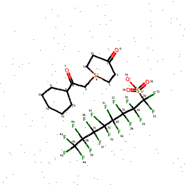 O=C1CC[S+](CC(=O)C2CCCCC2)CC1.O=S(=O)([O-])C(F)(F)C(F)(F)C(F)(F)C(F)(F)C(F)(F)C(F)(F)C(F)(F)C(F)(F)F